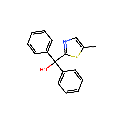 Cc1cnc(C(O)(c2ccccc2)c2ccccc2)s1